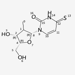 CC1[C@@H](O)[C@@H](CO)O[C@H]1n1ccc(=S)[nH]c1=O